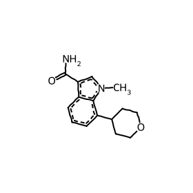 Cn1cc(C(N)=O)c2cccc(C3CCOCC3)c21